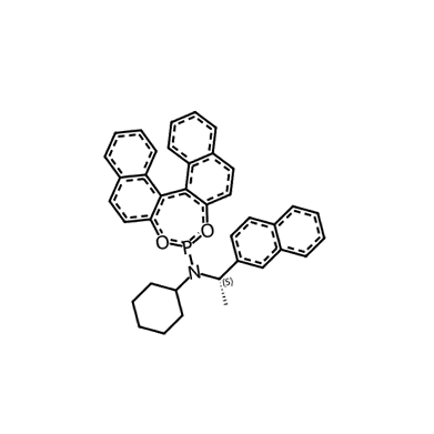 C[C@@H](c1ccc2ccccc2c1)N(C1CCCCC1)p1oc2ccc3ccccc3c2c2c(ccc3ccccc32)o1